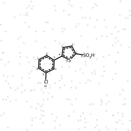 O=S(=O)(O)c1ccc(-c2cccc(Cl)c2)s1